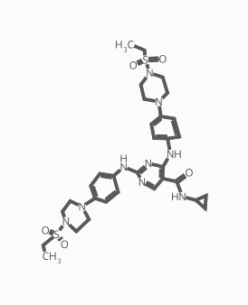 CCS(=O)(=O)N1CCN(c2ccc(Nc3ncc(C(=O)NC4CC4)c(Nc4ccc(N5CCN(S(=O)(=O)CC)CC5)cc4)n3)cc2)CC1